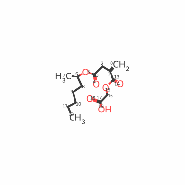 C=C(CC(=O)O[C@H](C)CCCCC)C(=O)OCC(=O)O